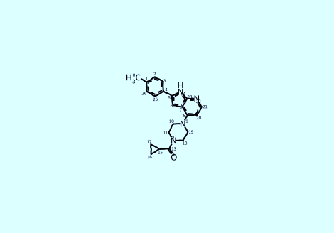 Cc1ccc(-c2cc3c(N4CCN(C(=O)C5CC5)CC4)ccnc3[nH]2)cc1